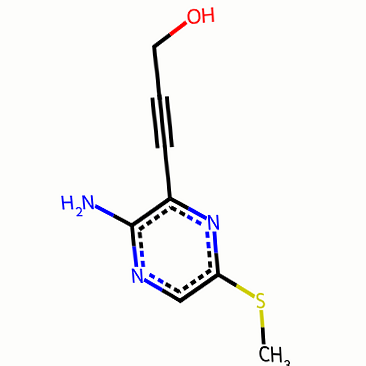 CSc1cnc(N)c(C#CCO)n1